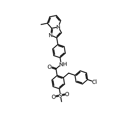 Cc1cccn2cc(-c3ccc(NC(=O)c4ccc(S(C)(=O)=O)cc4Cc4ccc(Cl)cc4)cc3)nc12